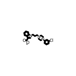 COC(=O)c1cn(CCCN2CCN(c3cccc(Cl)c3)CC2)c2ccccc12